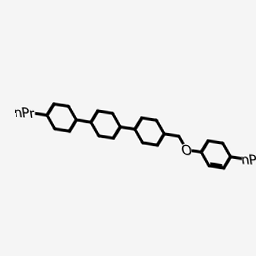 CCCCCC1C=CC(OCC2CCC(C3CCC(C4CCC(CCC)CC4)CC3)CC2)CC1